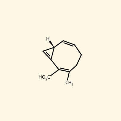 C/C1=C(\C(=O)O)C2=C[C@@H]2/C=C\CC1